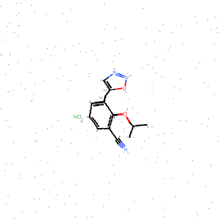 CC(C)Oc1c(C#N)cccc1-c1cnno1.Cl